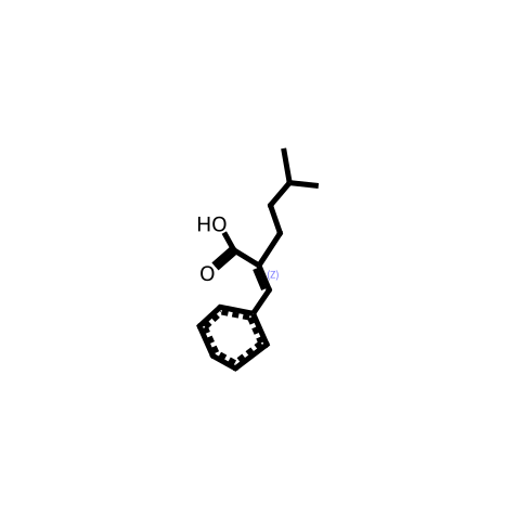 CC(C)CC/C(=C/c1ccccc1)C(=O)O